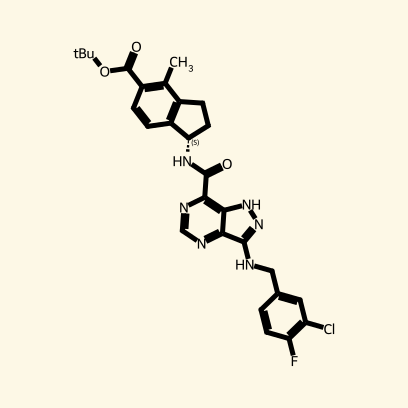 Cc1c(C(=O)OC(C)(C)C)ccc2c1CC[C@@H]2NC(=O)c1ncnc2c(NCc3ccc(F)c(Cl)c3)n[nH]c12